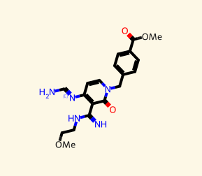 COCCNC(=N)c1c(/N=C/N)ccn(Cc2ccc(C(=O)OC)cc2)c1=O